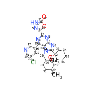 COC1(c2nc3nc(-c4n[nH]c(=O)o4)nc(-c4cncc(Cl)c4)c3n2CC2CCC(C)CC2)CCCCC1